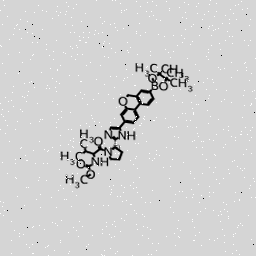 COC(=O)NC(C(=O)N1CCC[C@H]1c1ncc(-c2ccc3c(c2)OCc2cc(B4OC(C)(C)C(C)(C)O4)ccc2-3)[nH]1)C(C)C